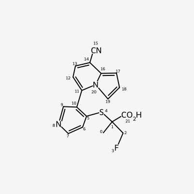 CC(CF)(Sc1ccncc1-c1ccc(C#N)c2cccn12)C(=O)O